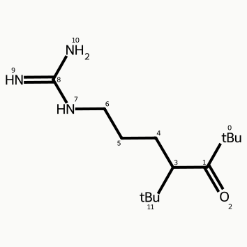 CC(C)(C)C(=O)C(CCCNC(=N)N)C(C)(C)C